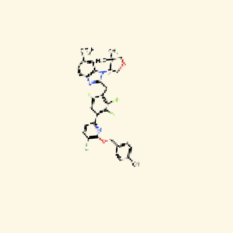 CC1(C)COC[C@H]1n1c(Cc2c(F)cc(-c3ccc(Cl)c(OCc4ccc(C#N)cc4)n3)c(F)c2F)nc2ccc(C(=O)O)cc21